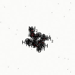 COP(=O)(S)OCC1O[C@@H](n2cnc3c(=O)[nH]c(N)nc32)C[C@H]1OP(=O)(S)OCC1O[C@@H](n2cc(C)c(=O)[nH]c2=O)C[C@H]1OP(=O)(S)OCC1O[C@@H](n2cnc3c(=O)[nH]c(N)nc32)C[C@H]1OP(=S)(S)OCC1O[C@@H](n2cc(C)c(=O)[nH]c2=O)C[C@H]1OP(=O)(S)OCC1O[C@@H](n2ccc(N)nc2=O)C[C@H]1C(C)C